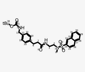 CN(CCNC(=O)CCc1ccc(CNC(=O)OC(C)(C)C)cc1)S(=O)(=O)c1ccc2ccccc2c1